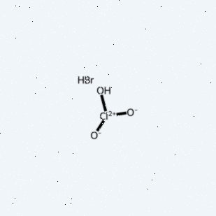 Br.[O-][Cl+2]([O-])O